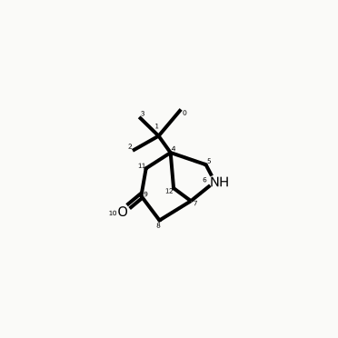 CC(C)(C)C12CNC(CC(=O)C1)C2